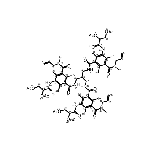 C=CCN(C)C(=O)c1c(I)c(NC(=O)C(COC(C)=O)OC(C)=O)c(I)c(C(=O)NCC(CNC(=O)c2c(I)c(NC(=O)C(COC(C)=O)OC(C)=O)c(I)c(C(=O)N(C)CC=C)c2I)CNC(=O)c2c(I)c(NC(=O)C(COC(C)=O)OC(C)=O)c(I)c(C(=O)N(C)CC=C)c2I)c1I